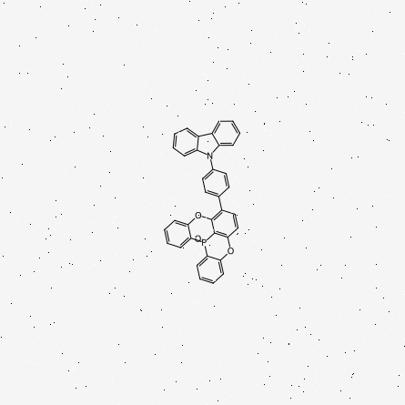 O=P12c3ccccc3Oc3ccc(-c4ccc(-n5c6ccccc6c6ccccc65)cc4)c(c31)Oc1ccccc12